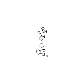 O=C(NC1CCC1)c1ccc(C2CCC(C(=O)c3ccccc3C(F)(F)F)CC2)cn1